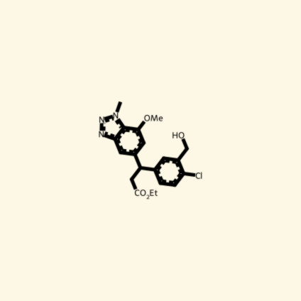 CCOC(=O)CC(c1ccc(Cl)c(CO)c1)c1cc(OC)c2c(c1)nnn2C